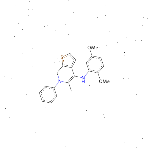 COc1ccc(OC)c(NC2=C(C)N(c3ccccc3)Cc3sccc32)c1